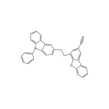 N#Cc1cc(CCc2ccc3c(c2)c2ccccc2n3-c2ccccc2)c2oc3ccccc3c2c1